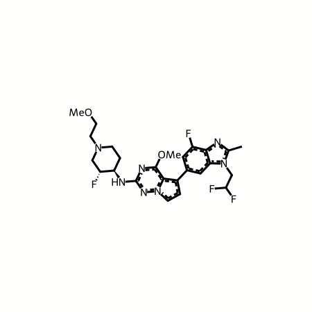 COCCN1CC[C@@H](Nc2nc(OC)c3c(-c4cc(F)c5nc(C)n(CC(F)F)c5c4)ccn3n2)[C@H](F)C1